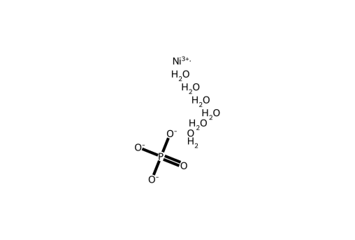 O.O.O.O.O.O.O=P([O-])([O-])[O-].[Ni+3]